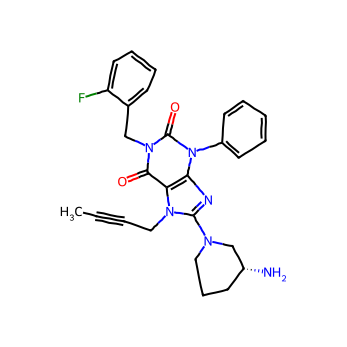 CC#CCn1c(N2CCC[C@@H](N)C2)nc2c1c(=O)n(Cc1ccccc1F)c(=O)n2-c1ccccc1